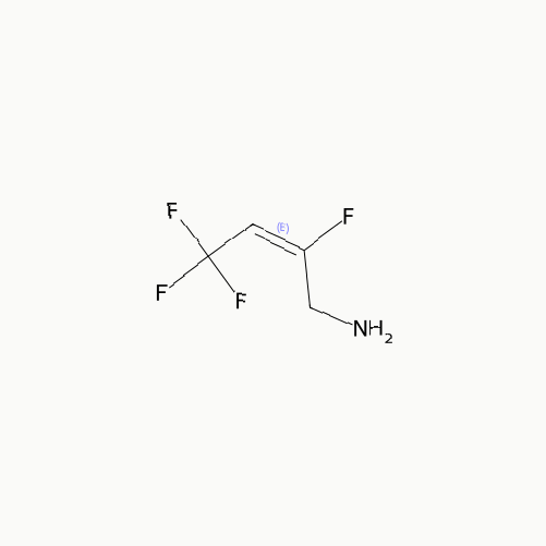 NC/C(F)=C\C(F)(F)F